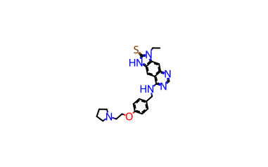 CCn1c(=S)[nH]c2cc3c(NCc4ccc(OCCN5CCCC5)cc4)ncnc3cc21